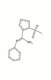 CS(=O)(=O)c1ccsc1C(N)=Nc1ccccc1